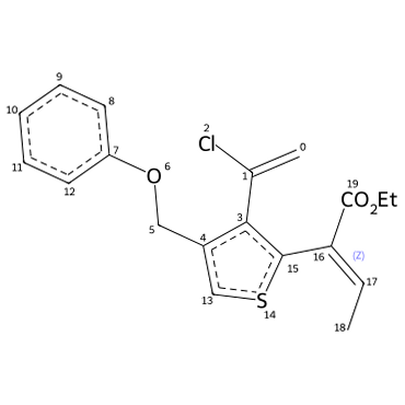 C=C(Cl)c1c(COc2ccccc2)csc1/C(=C\C)C(=O)OCC